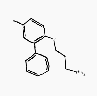 Cc1ccc(OCCCN)c(-c2ccccc2)c1